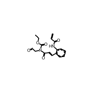 C=CC(=O)Nc1ccccc1/C=C/C(=O)N(C[C]=O)C(=O)OCC